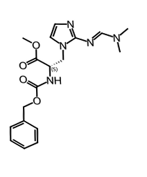 COC(=O)[C@H](Cn1ccnc1N=CN(C)C)NC(=O)OCc1ccccc1